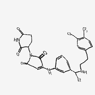 CCC(NCCc1ccc(C(F)(F)F)c(Cl)c1)c1cccc(NC2=CC(=O)N(C3CCC(=O)NC3=O)C2=O)c1